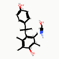 Cc1c(C)c(C(C)(C)c2ccc(O)cc2)c(C)c(C)c1O.N#CO